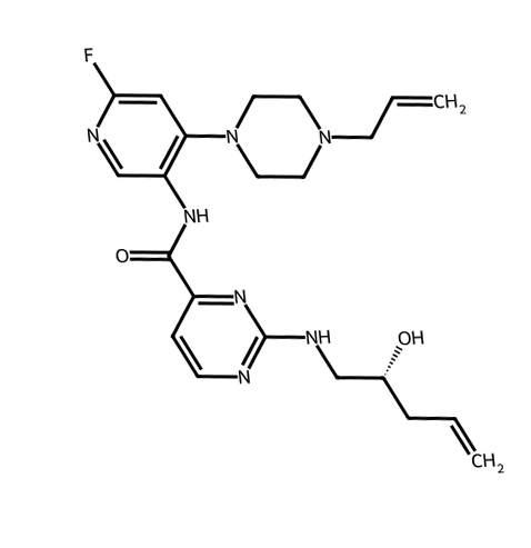 C=CC[C@@H](O)CNc1nccc(C(=O)Nc2cnc(F)cc2N2CCN(CC=C)CC2)n1